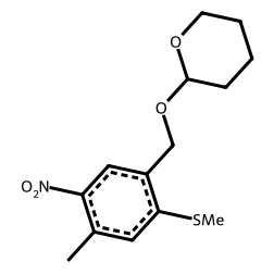 CSc1cc(C)c([N+](=O)[O-])cc1COC1CCCCO1